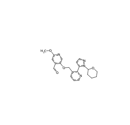 COc1cc(C=O)c(OCc2cccnc2-c2ccnn2C2CCCCO2)cn1